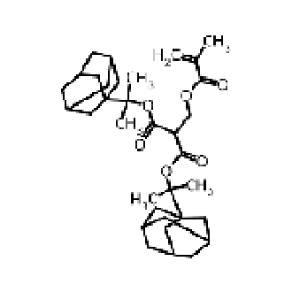 C=C(C)C(=O)OCC(C(=O)OC(C)(C)C12CC3CC(CC(C3)C1)C2)C(=O)OC(C)(C)C12CC3CC(CC(C3)C1)C2